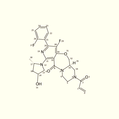 C=CC(=O)N1CCN2C(=O)c3c(N4CC(O)C[C@@H]4C)nc(-c4ccccc4F)c(F)c3OC[C@H]2C1